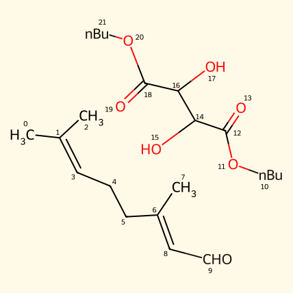 CC(C)=CCC/C(C)=C/C=O.CCCCOC(=O)C(O)C(O)C(=O)OCCCC